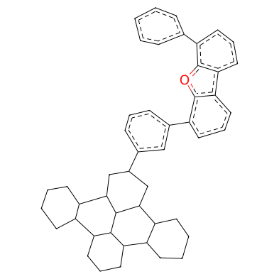 c1ccc(-c2cccc3c2oc2c(-c4cccc(C5CC6C7CCCCC7C7CCCC8C9CCCCC9C(C5)C6C78)c4)cccc23)cc1